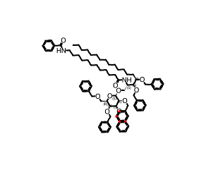 CCCCCCCCCCCCCC[C@@H](OCc1ccccc1)[C@@H](OCc1ccccc1)[C@H](CO[C@H]1O[C@H](COCc2ccccc2)[C@H](OCc2ccccc2)[C@H](OCc2ccccc2)[C@H]1OCc1ccccc1)NC(=O)CCCCCCCCCCCNC(=O)c1ccccc1